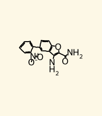 NC(=O)c1oc2ccc(-c3ccccc3[N+](=O)[O-])cc2c1N